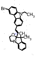 CCn1c2ccc(Br)cc2c2cc(/C=C/C34OCCN3c3ccccc3C4(C)C)ccc21